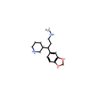 CNCCC(c1ccc2c(c1)OCO2)C1CCCNC1